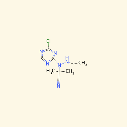 CCNN(c1ncnc(Cl)n1)C(C)(C)C#N